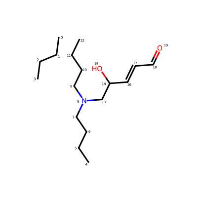 CCCC.CCCCN(CCCC)CC(O)C=CC=O